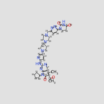 CC(=O)c1c(C)c2cnc(Nc3ccc(N4CCC(N5CCN(Cc6ccc(N7CCC(=O)NC7=O)nn6)CC5)CC4)cn3)nc2n(C2CCCC2)c1=O